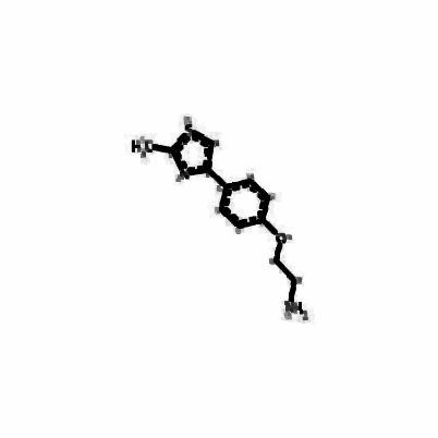 Cc1nc(-c2ccc(OCCN)cc2)cs1